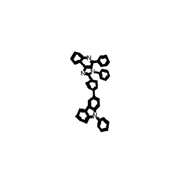 c1ccc(-c2nc3ccccc3c3nc(-c4ccc(-c5ccc6c(c5)c5ccccc5n6-c5ccccc5)cc4)n(-c4ccccc4)c23)cc1